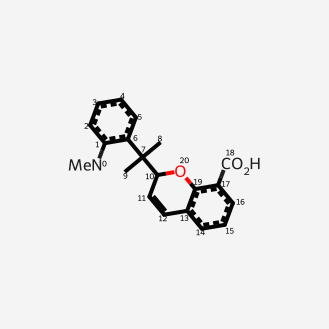 CNc1ccccc1C(C)(C)C1C=Cc2cccc(C(=O)O)c2O1